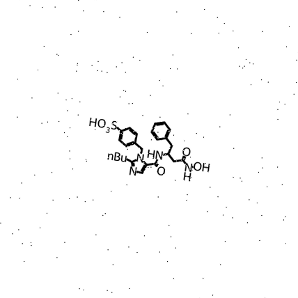 CCCCc1ncc(C(=O)NC(CC(=O)NO)Cc2ccccc2)n1Cc1ccc(S(=O)(=O)O)cc1